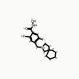 O=C(NO)c1cc(F)c(CN2CCC3(CCCCC3)C2)cc1F